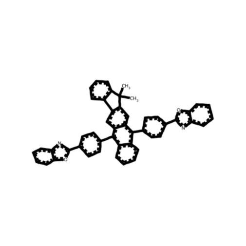 CC1(C)c2ccccc2-c2cc3c(-c4ccc(-c5nc6ccccc6o5)cc4)c4ccccc4c(-c4ccc(-c5nc6ccccc6o5)cc4)c3cc21